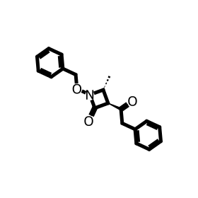 C[C@@H]1[C@@H](C(=O)Cc2ccccc2)C(=O)N1OCc1ccccc1